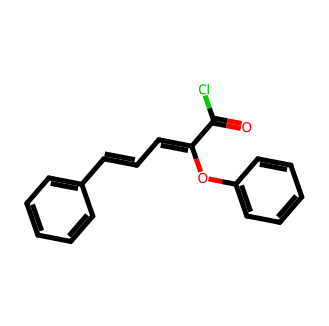 O=C(Cl)C(=CC=Cc1ccccc1)Oc1ccccc1